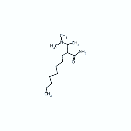 CCCCCCCCC(C(N)=O)C(C)N(C)C